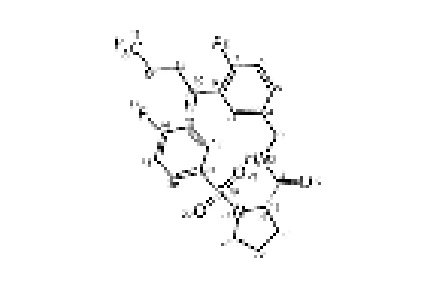 O=C(NCc1ccc(F)c(NCCC(F)(F)F)c1)[C@@H]1CCCN1S(=O)(=O)c1ccc(F)cc1